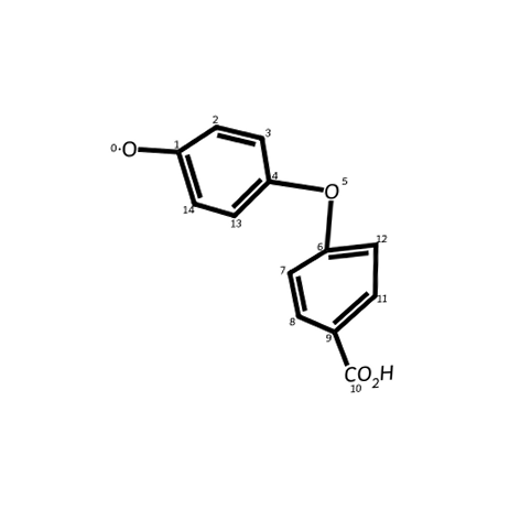 [O]c1ccc(Oc2ccc(C(=O)O)cc2)cc1